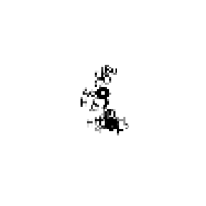 CC(=O)c1c(OC(=O)OC(C)(C)C)ccc(C[C@@H](Cl)B2OC3C[C@@H]4C[C@@H](C4(C)C)[C@]3(C)O2)c1C